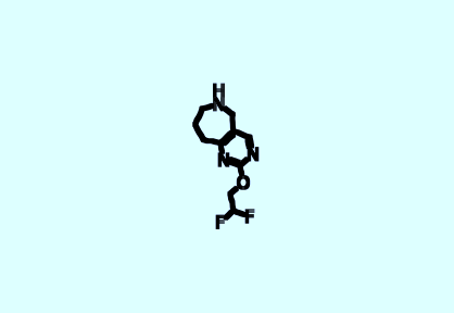 FC(F)COc1ncc2c(n1)CCCNC2